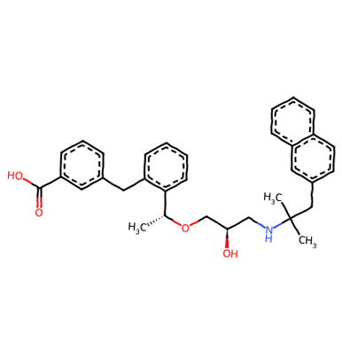 C[C@@H](OC[C@H](O)CNC(C)(C)Cc1ccc2ccccc2c1)c1ccccc1Cc1cccc(C(=O)O)c1